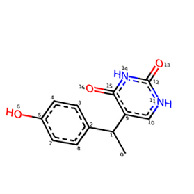 CC(c1ccc(O)cc1)c1c[nH]c(=O)[nH]c1=O